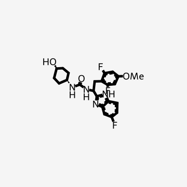 COc1cc(F)c(CC(NC(=O)N[C@H]2CC[C@H](O)CC2)c2nc3cc(F)ccc3[nH]2)c(F)c1